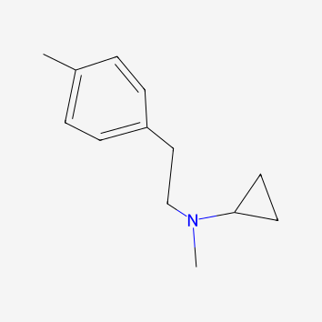 Cc1ccc(CCN(C)C2CC2)cc1